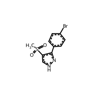 CS(=O)(=O)c1c[nH]nc1-c1ccc(Br)cc1